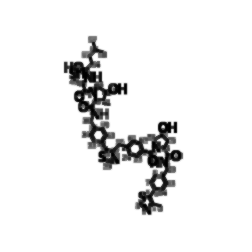 Cc1ncsc1-c1ccc(CNC(=O)[C@@H]2C[C@@H](O)CN2C(=O)c2ccc(Cc3ncsc3-c3ccc(CNC(=O)[C@@H]4C[C@@H](O)CN4C(=O)[C@H](CS)NC(O)CCC(C)C)cc3)cc2)cc1